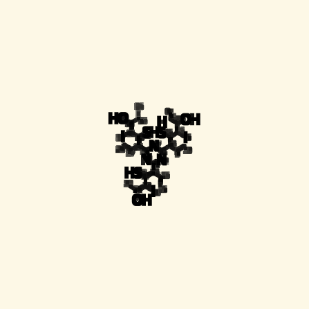 C=C/C(O)=C(I)\C(S)=C(/C=C)c1nc(/C(C=C)=C(S)/C(I)=C(\C)O)nc(/C(C=C)=C(S)/C(I)=C(/O)C=C)n1